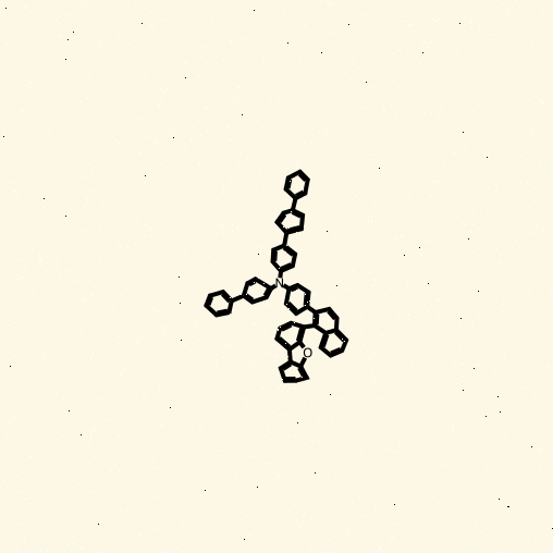 c1ccc(-c2ccc(-c3ccc(N(c4ccc(-c5ccccc5)cc4)c4ccc(-c5ccc6ccccc6c5-c5cccc6c5oc5ccccc56)cc4)cc3)cc2)cc1